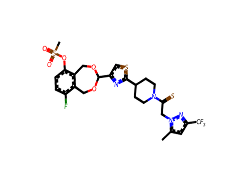 Cc1cc(C(F)(F)F)nn1CC(=S)N1CCC(c2nc(C3OCc4c(F)ccc(OS(C)(=O)=O)c4CO3)cs2)CC1